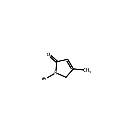 CC1=CC(=O)N(C(C)C)C1